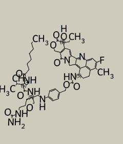 CCCCCCCC(=O)N[C@H](C(=O)N[C@](C=O)(CCCNC(N)=O)CNc1ccc(COC(=O)N[C@H]2CCc3c(C)c(F)cc4nc5c(c2c34)Cn2c-5cc3c(c2=O)COC(=O)[C@]3(O)CC)cc1)C(C)C